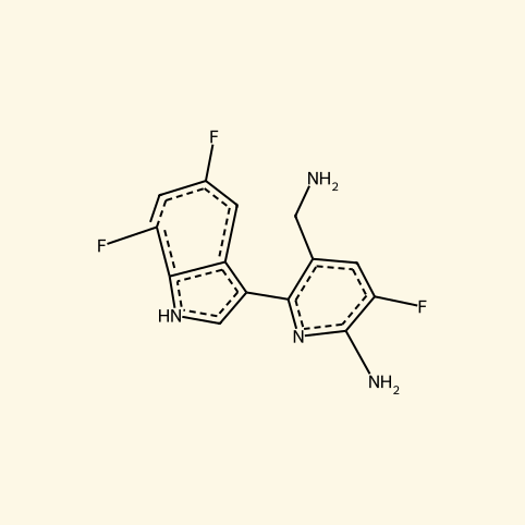 NCc1cc(F)c(N)nc1-c1c[nH]c2c(F)cc(F)cc12